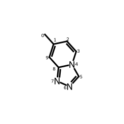 Cc1ccn2cnnc2c1